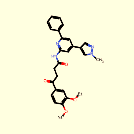 CCOc1ccc(C(=O)CCC(=O)Nc2cc(-c3cnn(C)c3)cc(-c3ccccc3)n2)cc1OCC